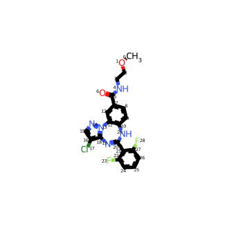 COCCNC(=O)c1ccc2c(c1)-n1ncc(Cl)c1N=C(c1c(F)cccc1F)N2